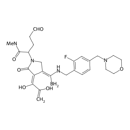 B/C(NCc1ccc(CN2CCOCC2)cc1F)=C1/CN(C(CCC=O)C(=O)NC)C(=O)/C1=C(\O)C(=C)O